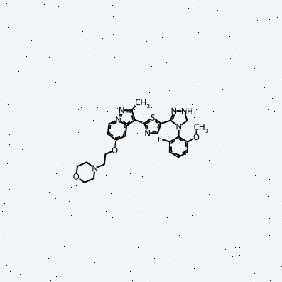 COc1cccc(F)c1N1CNN=C1c1cnc(-c2c(C)nn3ccc(OCCN4CCOCC4)cc23)s1